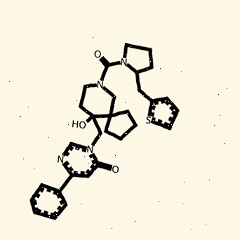 O=C(N1CCC(O)(Cn2cnc(-c3ccccc3)cc2=O)C2(CCCC2)C1)N1CCCC1Cc1cccs1